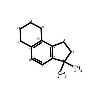 CC1(C)CCc2c1ccc1c2CCCC1